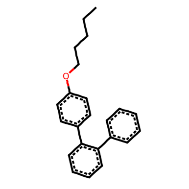 CCCCCOc1ccc(-c2ccccc2-c2ccccc2)cc1